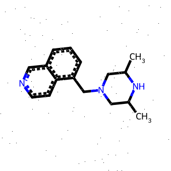 CC1CN(Cc2cccc3cnccc23)CC(C)N1